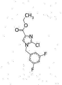 CCOC(=O)c1cn(Cc2cc(F)cc(F)c2)c(Cl)n1